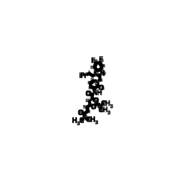 CC(C)CCn1c(Cn2cccc(NC(=O)[C@H](CC/C=C/C(=O)N(C)C)OC(=O)N(C)C)c2=O)nc2cc(F)c(F)cc21